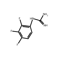 N=C(N)Nc1ccc(F)c(F)c1F